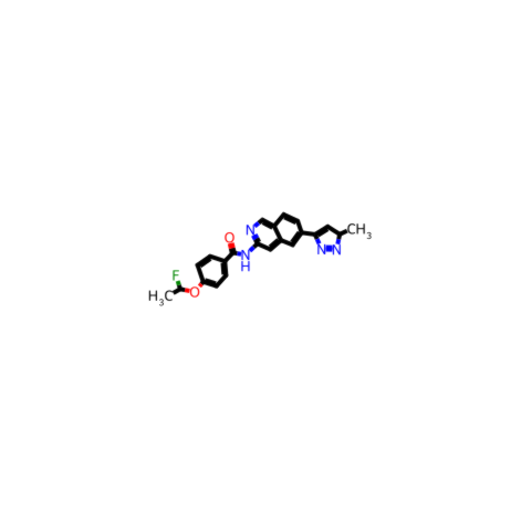 CC1C=C(c2ccc3cnc(NC(=O)c4ccc(OC(C)F)cc4)cc3c2)N=N1